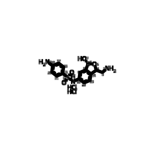 Cl.Cl.NCC1OB(O)c2cc(NS(=O)(=O)c3ccc(N)cc3)ccc21